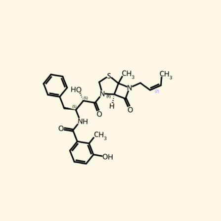 C/C=C\CN1C(=O)[C@H]2N(C(=O)[C@@H](O)[C@H](Cc3ccccc3)NC(=O)c3cccc(O)c3C)CSC21C